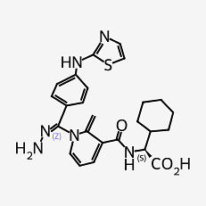 C=C1C(C(=O)N[C@H](C(=O)O)C2CCCCC2)=CC=CN1/C(=N\N)c1ccc(Nc2nccs2)cc1